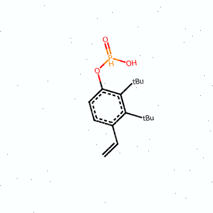 C=Cc1ccc(O[PH](=O)O)c(C(C)(C)C)c1C(C)(C)C